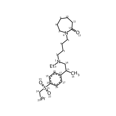 CCN(CCCCN1CCCCCC1=O)CC(C)c1ccc(S(=O)(=O)CC(C)C)cc1